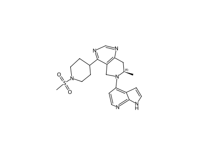 C[C@@H]1Cc2ncnc(C3CCN(S(C)(=O)=O)CC3)c2CN1c1ccnc2[nH]ccc12